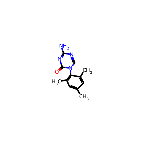 Cc1cc(C)c(-n2cnc(N)nc2=O)c(C)c1